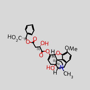 COc1ccc2c3c1O[C@H]1C(OC(=O)[C@@H](O)CC(=O)O[C@H](C(=O)O)c4ccccc4)=CC[C@@]4(O)[C@@H](C2)N(C)CC[C@]314